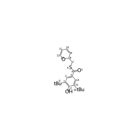 CC(C)(C)c1cc(C(=O)SCC2C=CC=CO2)cc(C(C)(C)C)c1O